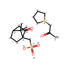 CC(C)C(=O)C[S+]1CCCC1.CC1(C)C2CCC1(CS(=O)(=O)[O-])C(=O)C2